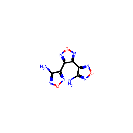 Nc1nonc1-c1nonc1-c1nonc1N